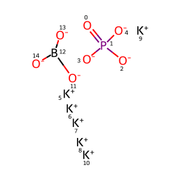 O=P([O-])([O-])[O-].[K+].[K+].[K+].[K+].[K+].[K+].[O-]B([O-])[O-]